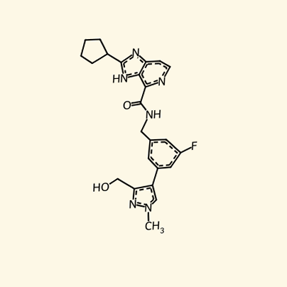 Cn1cc(-c2cc(F)cc(CNC(=O)c3nccc4nc(C5CCCC5)[nH]c34)c2)c(CO)n1